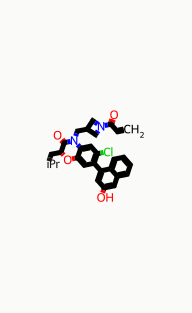 C=CC(=O)N1CC(CN2C(=O)C(CC(C)C)Oc3cc(-c4cc(O)cc5ccccc45)c(Cl)cc32)C1